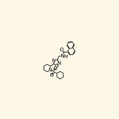 O=C(NCc1noc(C2CCCCN2S(=O)(=O)C2CCCCC2)n1)c1cccc2ccccc12